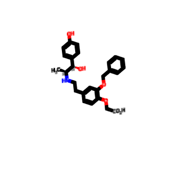 C[C@H](NCCc1ccc(OCC(=O)O)c(OCc2ccccc2)c1)[C@@H](O)c1ccc(O)cc1